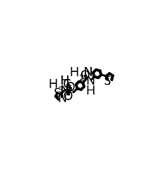 COP(=O)(Cc1ccc(C(=O)Nc2cc(-c3cccs3)ccc2N)cc1)Nc1nccs1